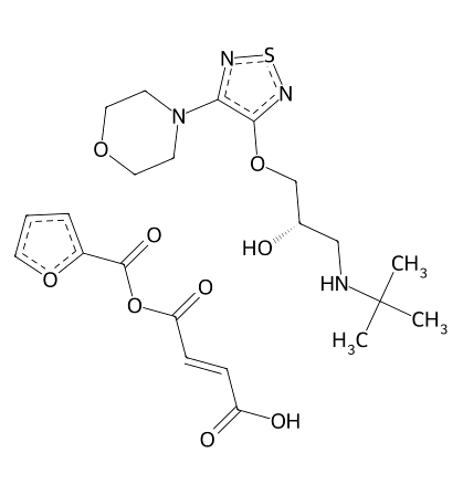 CC(C)(C)NC[C@H](O)COc1nsnc1N1CCOCC1.O=C(O)/C=C/C(=O)OC(=O)c1ccco1